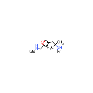 CC(C)NC(C)(C)Cc1coc(CNC(C)(C)C)c1